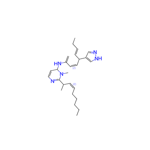 C=C(/C=C\C(C=CCC)c1cn[nH]c1)NC1C=CN=C(C(C)/C=C\CCCCC)N1C